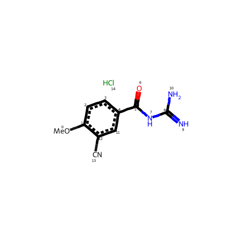 COc1ccc(C(=O)NC(=N)N)cc1C#N.Cl